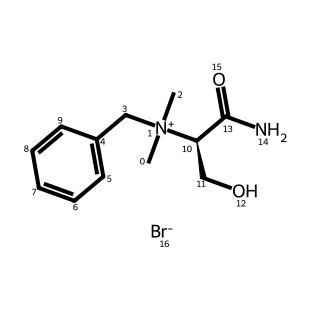 C[N+](C)(Cc1ccccc1)[C@H](CO)C(N)=O.[Br-]